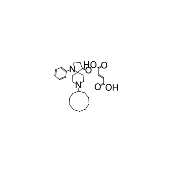 O=C(O)C=CC(=O)O.O=C1CCN(c2ccccc2)C12CCN(C1CCCCCCCCC1)CC2